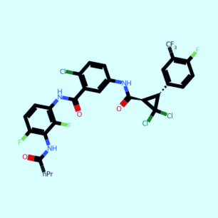 CCCC(=O)Nc1c(F)ccc(NC(=O)c2cc(NC(=O)[C@H]3[C@H](c4ccc(F)c(C(F)(F)F)c4)C3(Cl)Cl)ccc2Cl)c1F